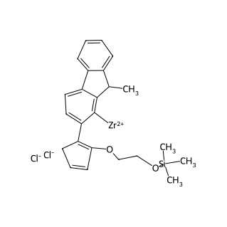 CC1c2ccccc2-c2ccc(C3=C(OCCO[Si](C)(C)C)C=CC3)[c]([Zr+2])c21.[Cl-].[Cl-]